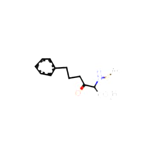 CC(=O)SNC(C(=O)O)C(=O)CCCc1ccccc1